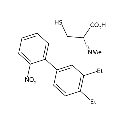 CCc1ccc(-c2ccccc2[N+](=O)[O-])cc1CC.CN[C@H](CS)C(=O)O